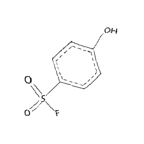 O=S(=O)(F)c1ccc(O)cc1